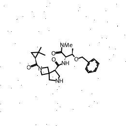 CNC(=O)[C@@H](NC(=O)[C@H]1CNCC12CN(C(=O)[C@H]1CC1(C)C)C2)[C@@H](C)OCc1ccccc1